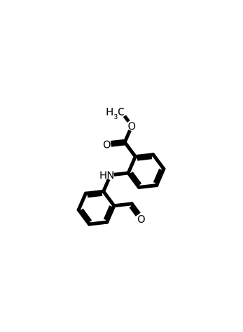 COC(=O)c1ccccc1Nc1ccccc1C=O